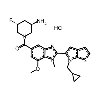 COc1cc(C(=O)N2C[C@H](N)C[C@@H](F)C2)cc2nc(-c3cc4ccsc4n3CC3CC3)n(C)c12.Cl